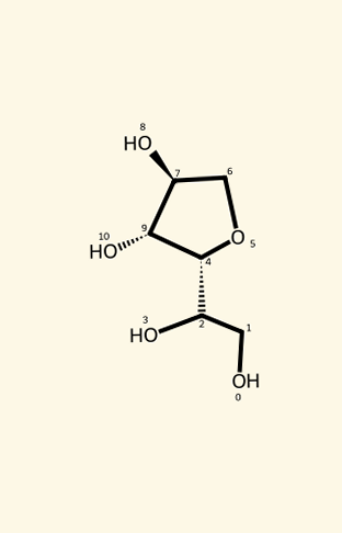 OCC(O)[C@H]1OC[C@H](O)[C@H]1O